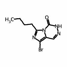 CCCCc1nc(Br)c2cn[nH]c(=O)n12